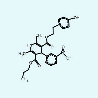 CCCOC(=O)C1=C(C)NC(C)=C(C(=O)OCCc2ccc(O)cc2)C1c1cccc([N+](=O)[O-])c1